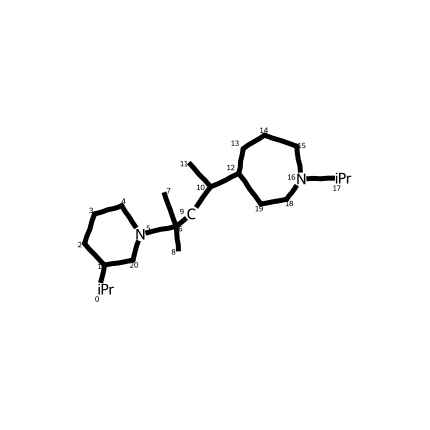 CC(C)C1CCCN(C(C)(C)CC(C)C2CCCN(C(C)C)CC2)C1